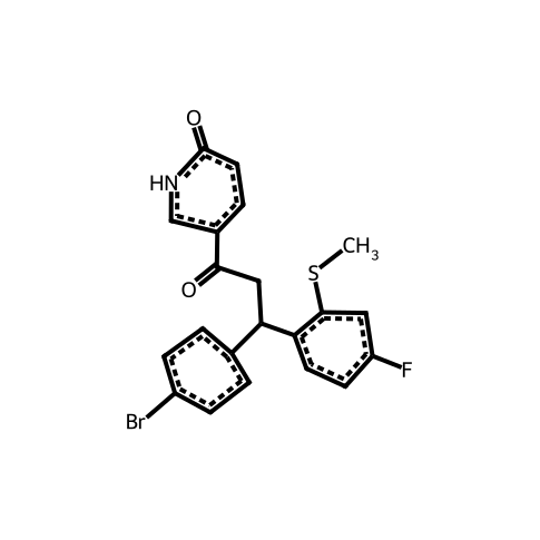 CSc1cc(F)ccc1C(CC(=O)c1ccc(=O)[nH]c1)c1ccc(Br)cc1